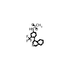 CS(=O)(=O)Nc1ccc(-c2cncc3ccccc23)c(C(F)(F)F)c1